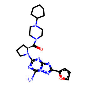 Nc1nc(N2CCC[C@H]2C(=O)N2CCN(C3CCCCC3)CC2)nc2nc(-c3ccco3)nn12